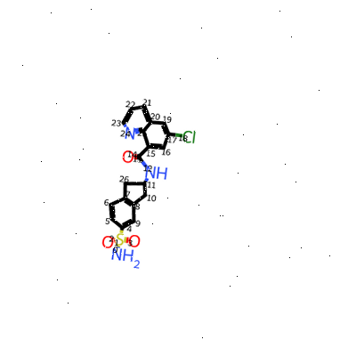 NS(=O)(=O)c1ccc2c(c1)CC(NC(=O)c1cc(Cl)cc3cccnc13)C2